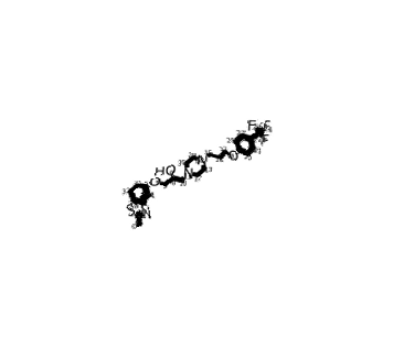 Cc1nc2cc(OC[C@H](O)CN3CCN(CCCOc4ccc(C(F)(F)F)cc4)CC3)ccc2s1